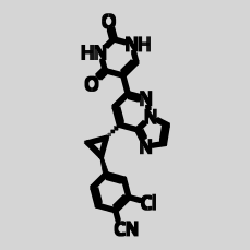 N#Cc1ccc([C@H]2C[C@@H]2c2cc(-c3c[nH]c(=O)[nH]c3=O)nn3ccnc23)cc1Cl